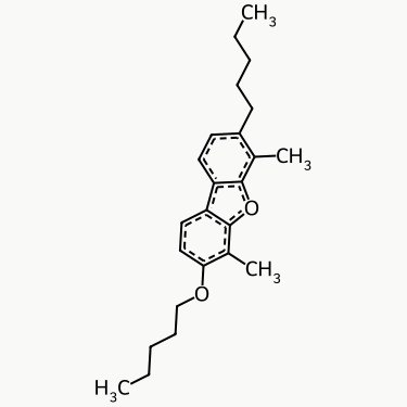 CCCCCOc1ccc2c(oc3c(C)c(CCCCC)ccc32)c1C